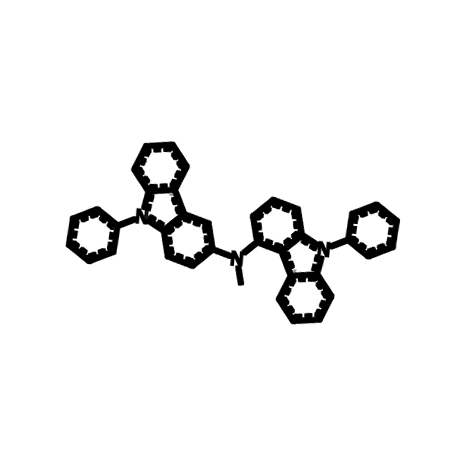 CN(c1ccc2c(c1)c1ccccc1n2-c1ccccc1)c1cccc2c1c1ccccc1n2-c1ccccc1